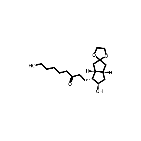 O=C(CCCCCO)CC[C@@H]1[C@@H]2CC3(C[C@@H]2C[C@H]1O)OCCO3